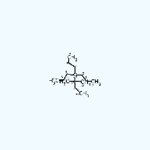 CCC[Si](CCC)(CCC)C(C)(C)CC